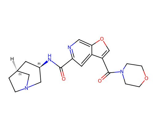 O=C(N[C@@H]1C[C@@H]2CCN(C2)C1)c1cc2c(C(=O)N3CCOCC3)coc2cn1